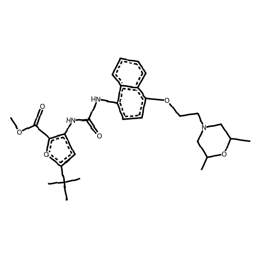 COC(=O)c1oc(C(C)(C)C)cc1NC(=O)Nc1ccc(OCCN2CC(C)OC(C)C2)c2ccccc12